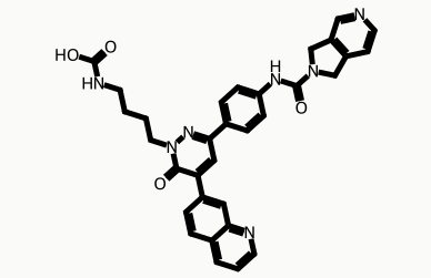 O=C(O)NCCCCn1nc(-c2ccc(NC(=O)N3Cc4ccncc4C3)cc2)cc(-c2ccc3cccnc3c2)c1=O